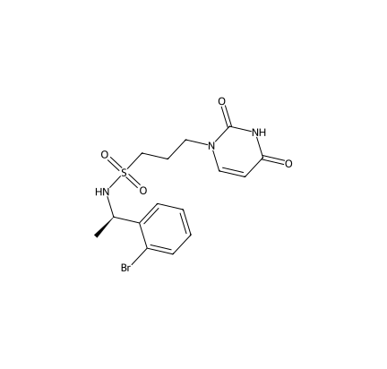 C[C@@H](NS(=O)(=O)CCCn1ccc(=O)[nH]c1=O)c1ccccc1Br